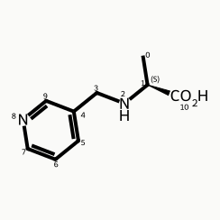 C[C@H](NCc1cccnc1)C(=O)O